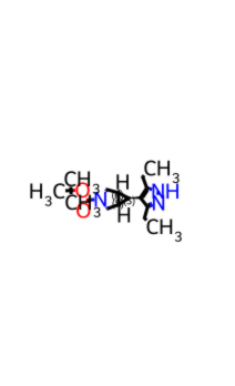 CCc1n[nH]c(CC)c1[C@H]1[C@@H]2CN(C(=O)OC(C)(C)C)C[C@@H]21